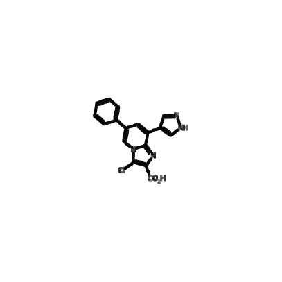 O=C(O)c1nc2c(-c3cn[nH]c3)cc(-c3ccccc3)cn2c1Cl